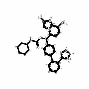 CCc1cn2c([C@H](OC(=O)NC3CCCCC3)c3ccc(-c4ccccc4-c4nnn[nH]4)cc3)ccc(C)c2n1